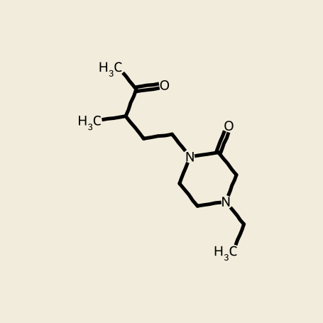 CCN1CCN(CCC(C)C(C)=O)C(=O)C1